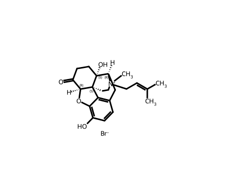 CC(C)=CC[N+]1(C)CC[C@]23c4c5ccc(O)c4O[C@H]2C(=O)CC[C@@]3(O)[C@H]1C5.[Br-]